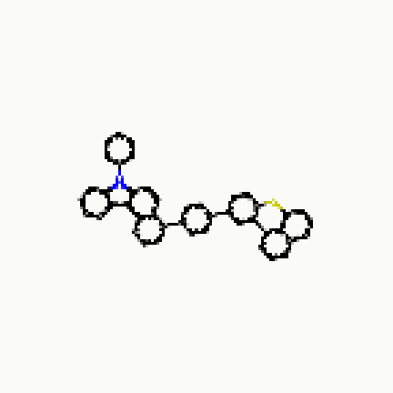 c1ccc(-n2c3ccccc3c3c4cccc(-c5ccc(-c6ccc7c(c6)-c6cccc8cccc(c68)S7)cc5)c4ccc32)cc1